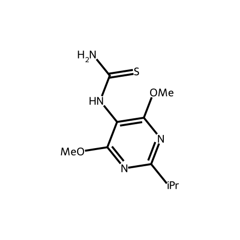 COc1nc(C(C)C)nc(OC)c1NC(N)=S